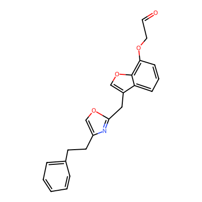 O=CCOc1cccc2c(Cc3nc(CCc4ccccc4)co3)coc12